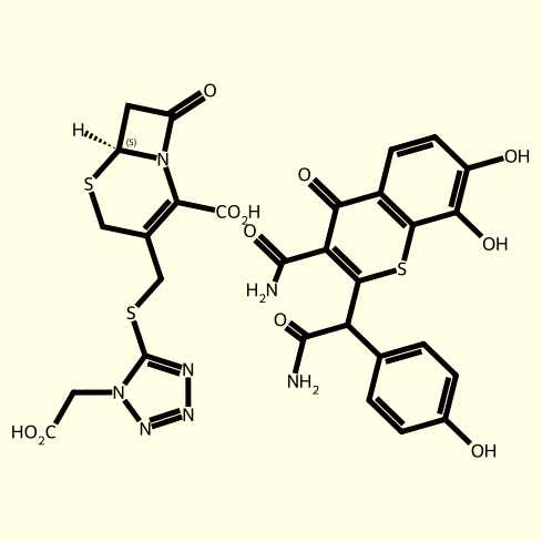 NC(=O)c1c(C(C(N)=O)c2ccc(O)cc2)sc2c(O)c(O)ccc2c1=O.O=C(O)Cn1nnnc1SCC1=C(C(=O)O)N2C(=O)C[C@@H]2SC1